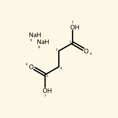 O=C(O)CCC(=O)O.[NaH].[NaH]